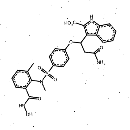 Cc1cccc(C(=O)NO)c1N(C)S(=O)(=O)c1ccc(OC(CC(N)=O)c2c(C(=O)O)[nH]c3ccccc23)cc1